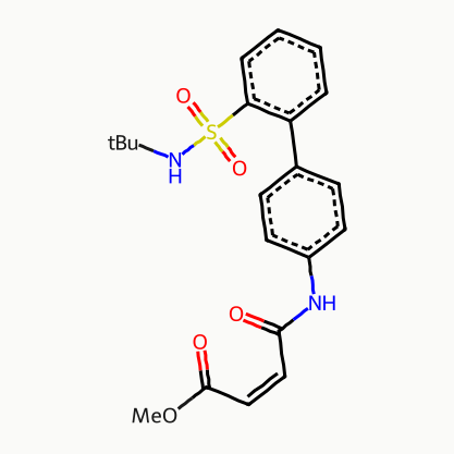 COC(=O)/C=C\C(=O)Nc1ccc(-c2ccccc2S(=O)(=O)NC(C)(C)C)cc1